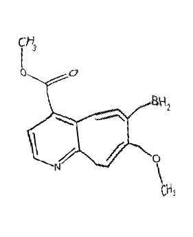 Bc1cc2c(C(=O)OC)ccnc2cc1OC